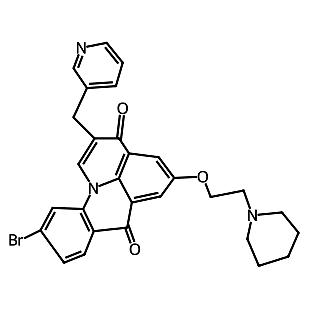 O=c1c(Cc2cccnc2)cn2c3cc(Br)ccc3c(=O)c3cc(OCCN4CCCCC4)cc1c32